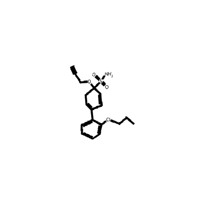 C#CCOC1(S(N)(=O)=O)C=CC(c2ccccc2OCCC)=CC1